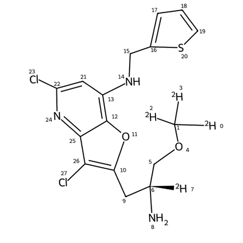 [2H]C([2H])([2H])OC[C@]([2H])(N)Cc1oc2c(NCc3cccs3)cc(Cl)nc2c1Cl